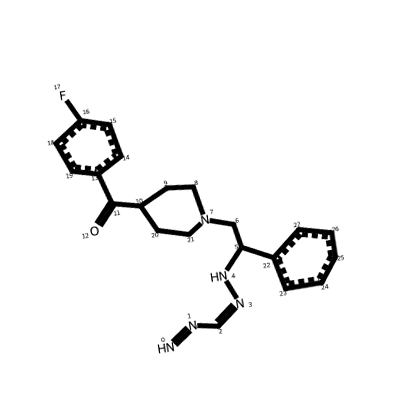 N=N/C=N\NC(CN1CCC(C(=O)c2ccc(F)cc2)CC1)c1ccccc1